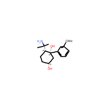 COc1cccc([C@@]2(O)C[C@H](O)CC[C@@H]2C(C)(C)N)c1